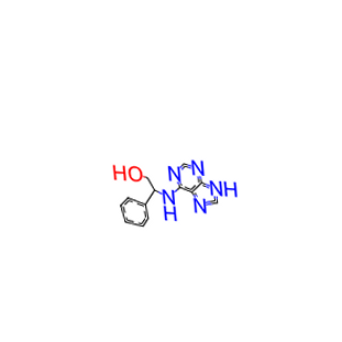 OCC(Nc1ncnc2[nH]cnc12)c1ccccc1